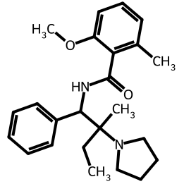 CCC(C)(C(NC(=O)c1c(C)cccc1OC)c1ccccc1)N1CCCC1